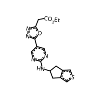 CCOC(=O)Cc1nnc(-c2cnc(NC3Cc4cscc4C3)nc2)o1